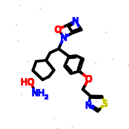 C1=c2c(on2C(CC2CCCCC2)c2ccc(OCc3cscn3)cc2)=N1.NO